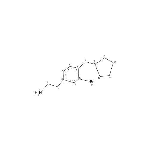 NCCc1ccc(CN2CCCC2)c(Br)c1